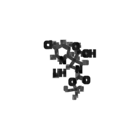 CC(C)(C)OC(=O)N1CC(C(=O)O)(c2ccc(Cl)cn2)C1.[LiH]